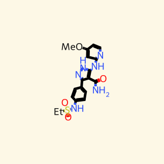 CCS(=O)(=O)Nc1ccc(-c2n[nH]c(Nc3cc(OC)ccn3)c2C(N)=O)cc1